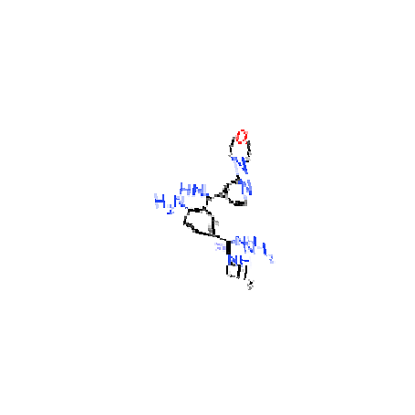 CN/C=C(\NN)c1ccc(N)c(C(=N)c2ccnc(N3CCOCC3)c2)c1